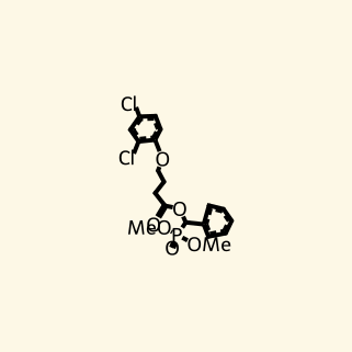 COP(=O)(OC)C(OC(=O)CCCOc1ccc(Cl)cc1Cl)c1ccccc1